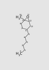 CCCCCCC1CCC2(C)OC2C1